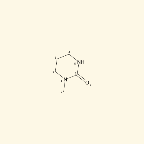 CN1CCCNC1=O